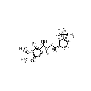 COc1cc2c(c(F)c1OC)C(=N)N(CC(=O)c1cccc(C(C)(C)C)c1)C2